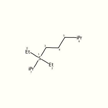 CCS(CC)(CCCC(C)C)C(C)C